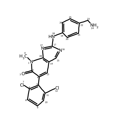 Cn1c(=O)c(-c2c(Cl)cccc2Cl)cc2cnc(Nc3ccc(CN)cc3)nc21